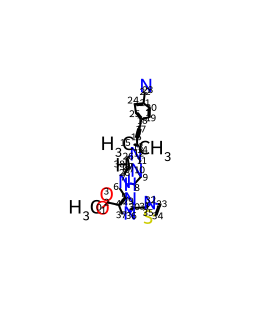 COC(=O)C1=C(CN2CCN3CN(C(C)(C)C#Cc4ccc(C#N)cc4)C[C@@H]3C2)NC(c2nccs2)=NC1